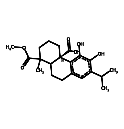 COC(=O)C1(C)CCC[C@]2(C(=O)O)c3c(cc(C(C)C)c(O)c3O)CCC12